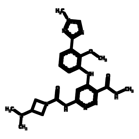 CNC(=O)c1nnc(NC(=O)N2CC(N(C)C)C2)cc1Nc1cccc(-c2ncn(C)n2)c1OC